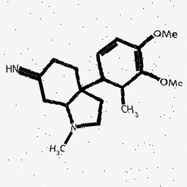 COC1=C(OC)C(C)C(C23CCC(=N)CC2N(C)CC3)C=C1